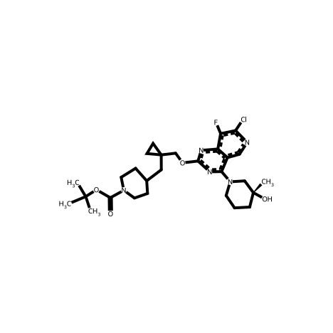 CC(C)(C)OC(=O)N1CCC(CC2(COc3nc(N4CCC[C@@](C)(O)C4)c4cnc(Cl)c(F)c4n3)CC2)CC1